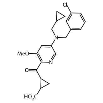 COc1cc(N(Cc2cccc(Cl)c2)CC2CC2)cnc1C(=O)C1CC1C(=O)O